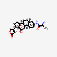 C[C@H](N)C(=O)N[C@H]1CC[C@@]2(C)[C@H](CC[C@@H]3[C@@H]2C[C@@H](O)[C@]2(C)[C@@H](C4=CC(=O)OC4)CC[C@]32O)C1